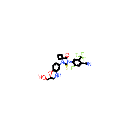 N#Cc1cc(F)c(N2C(=O)C3(CCC3)N(c3ccc4c(c3)NCC(CO)O4)C2=S)cc1C(F)(F)F